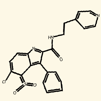 O=C(NCCc1ccncc1)C1=NC2=CC=C(Cl)C(=S(=O)=O)C2=C1c1ccccc1